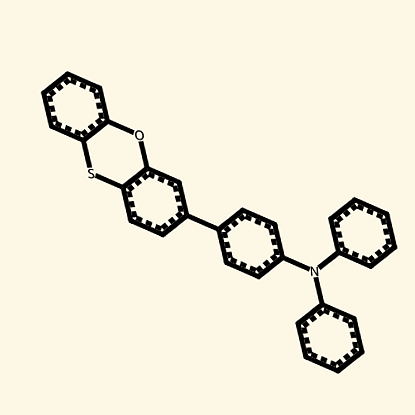 c1ccc(N(c2ccccc2)c2ccc(-c3ccc4c(c3)Oc3ccccc3S4)cc2)cc1